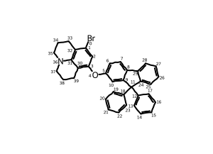 Brc1cc(Oc2ccc3c(c2)C(c2ccccc2)(c2ccccc2)c2ccccc2-3)c2c3c1CCCN3CCC2